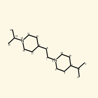 CC(C)C1CCN(CCC2CCN(C(C)C)CC2)CC1